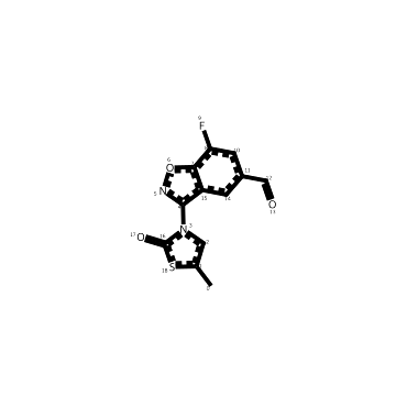 Cc1cn(-c2noc3c(F)cc(C=O)cc23)c(=O)s1